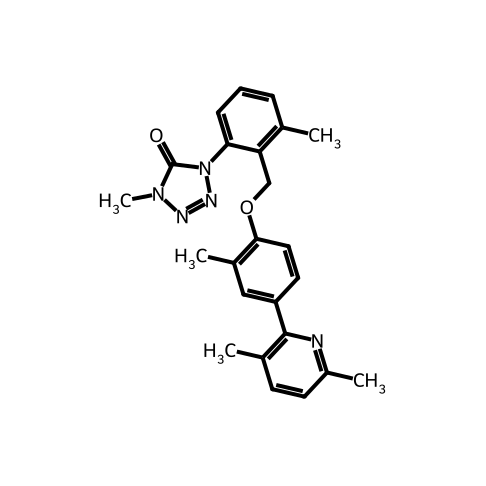 Cc1ccc(C)c(-c2ccc(OCc3c(C)cccc3-n3nnn(C)c3=O)c(C)c2)n1